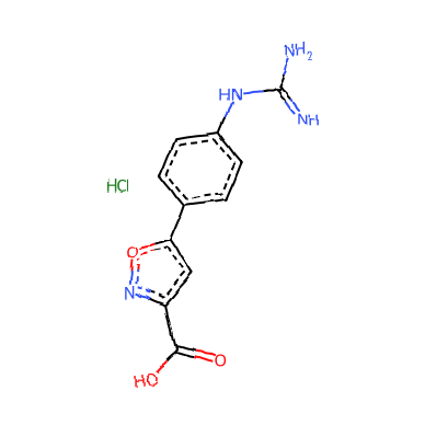 Cl.N=C(N)Nc1ccc(-c2cc(C(=O)O)no2)cc1